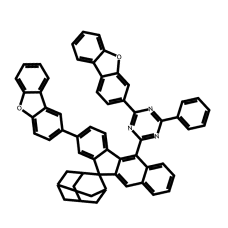 c1ccc(-c2nc(-c3ccc4c(c3)oc3ccccc34)nc(-c3c4c(cc5ccccc35)C3(c5cc(-c6ccc7oc8ccccc8c7c6)ccc5-4)C4CC5CC(C4)CC3C5)n2)cc1